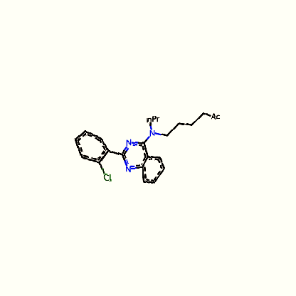 CCCN(CCCCC(C)=O)c1nc(-c2ccccc2Cl)nc2ccccc12